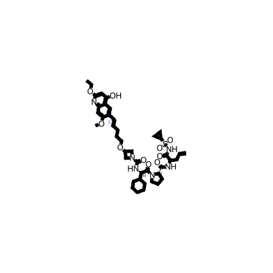 C=CCC(NC(=O)[C@@H]1CCCN1C(=O)[C@@H](NC(=O)N1CC(OCCC/C=C/c2cc3c(O)cc(OCC)nc3cc2OC)C1)C1CCCCC1)C(=O)NS(=O)(=O)C1CC1